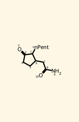 CCCCCC1C(=O)CCC1CC(N)=O